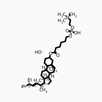 CC[C@H](/C=C/[C@@H](C)[C@H]1CC[C@H]2[C@@H]3CC=C4CC(OC(=O)CCCCCOP(=O)(O)OCC[N+](C)(C)C)CC[C@]4(C)[C@H]3CC[C@]12C)C(C)C.[OH-]